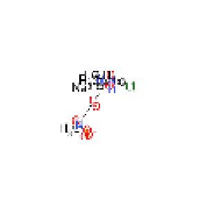 CN(CCS(=O)(=O)[O-])C(=O)CCCCCCC(=O)OCCCc1ccc2c(c1)c(=O)c(C(=O)NCc1ccc(Cl)cc1)cn2C(C)(C)C.[Na+]